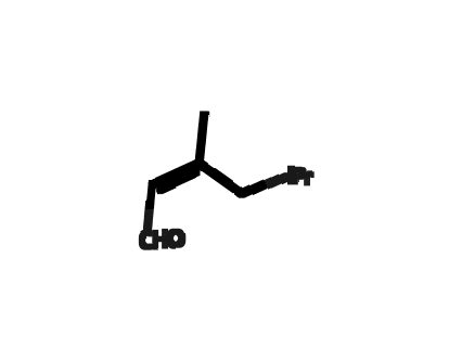 CC(=CC=O)CC(C)C